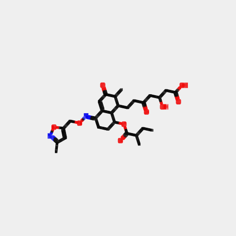 CCC(C)C(=O)OC1CC/C(=N\OCc2cc(C)no2)C2=CC(=O)C(C)C(CCC(=O)CC(O)CC(=O)O)C21